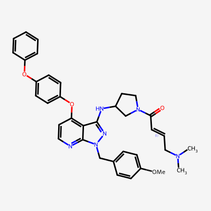 COc1ccc(Cn2nc(NC3CCN(C(=O)/C=C/CN(C)C)C3)c3c(Oc4ccc(Oc5ccccc5)cc4)ccnc32)cc1